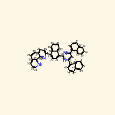 c1ccc2c(-c3cc(-c4cccc5ccccc45)nc(-c4ccc(-c5ccc6ccc7cccnc7c6n5)c5ccccc45)n3)cccc2c1